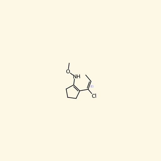 C/C=C(/Cl)C1=C(NOC)CCC1